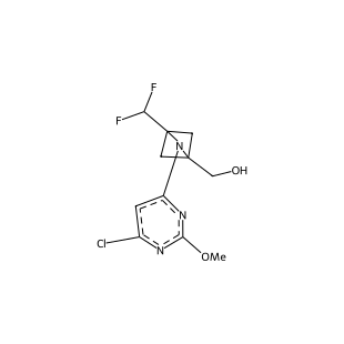 COc1nc(Cl)cc(N2CC3(C(F)F)CC2(CO)C3)n1